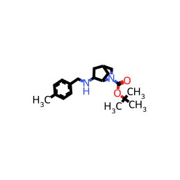 Cc1ccc(CNC2CC3CC2N(C(=O)OC(C)(C)C)C3)cc1